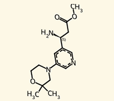 COC(=O)C[C@H](N)c1cncc(N2CCOC(C)(C)C2)c1